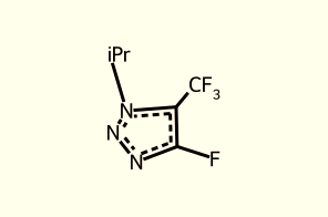 CC(C)n1nnc(F)c1C(F)(F)F